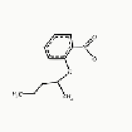 CCCC(C)Oc1ccccc1[N+](=O)[O-]